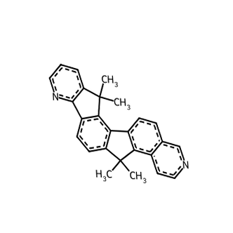 CC1(C)c2cccnc2-c2ccc3c(c21)-c1ccc2cnccc2c1C3(C)C